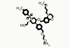 COCCCN1CCOc2ccc(CO[C@H]3CN(S(=O)(=O)c4ccc(C)cc4)[C@@H](CCO)C[C@@H]3c3ccc(COCCOC)cc3)cc21